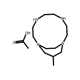 CC(=O)O.CC1CN2CCNCCNCCN(CC2)C1